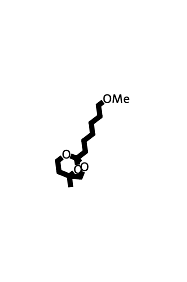 COCCCCCCC12OCCC(C)(CO1)O2